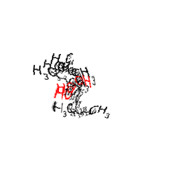 CCCCC(C)CC.CCCCC(C)CC.CCCCC(CC)CCCC(CO)(CO)CO